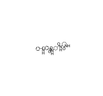 O=C(NC1CCCCNC1=O)C1CCC(NS(=O)(=O)c2ccc3cc(-c4ccccc4)[nH]c3c2)CC1